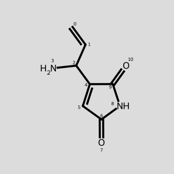 C=CC(N)C1=CC(=O)NC1=O